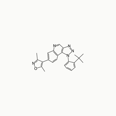 Cc1noc(C)c1-c1ccc2c(c1)ncc1nnn(-c3ccccc3C(C)(C)C)c12